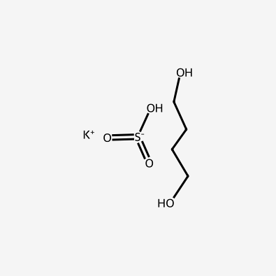 O=[S-](=O)O.OCCCCO.[K+]